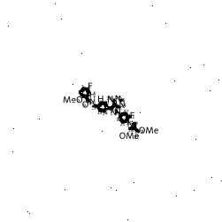 COc1ccc(F)cc1C(=O)NCc1ccc(-c2nn(-c3ccc(N4CC(C(OC)OC)C4)c(F)c3)c3ncnc(N)c23)cc1